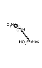 CCCCCCN(CCCCCCCCNC(=O)Oc1ccc([N+](=O)[O-])cc1)C(=O)O